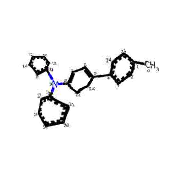 Cc1ccc(C2=CC=C(N(c3ccccc3)c3ccccc3)CC2)cc1